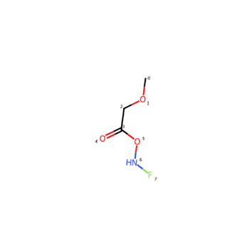 COCC(=O)ONF